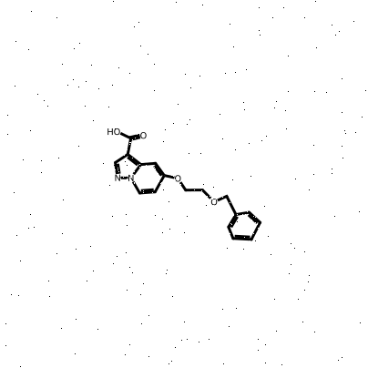 O=C(O)c1cnn2ccc(OCCOCc3ccccc3)cc12